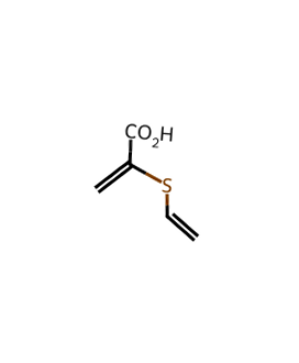 C=CSC(=C)C(=O)O